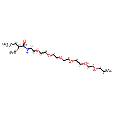 CC(=O)CCOCCOCCOCCOCCOCCOCCNC(=O)C(CC(=O)O)SC(C)C